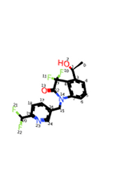 C[C@H](O)c1cccc2c1C(F)(F)C(=O)N2Cc1ccc(C(F)F)nc1